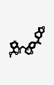 COC(=O)c1ccncc1NC[C@@H]1CCOc2cc(N(C)C3=CCC4=COCC4=C3)ccc21